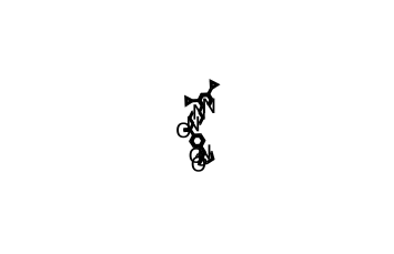 O=C(c1ccc(N2CCCS2(=O)=O)cc1)N1CCN(c2ncc(C3CC3)cc2C2CC2)CC1